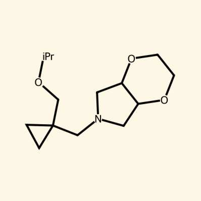 CC(C)OCC1(CN2CC3OCCOC3C2)CC1